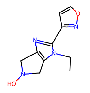 CCn1c(-c2ccon2)nc2c1CN(O)C2